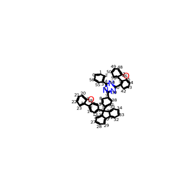 c1ccc(-c2nc(-c3ccc(C4(c5ccc6c(c5)oc5ccccc56)c5ccccc5-c5ccccc54)cc3)nc(-c3cccc4oc5ccccc5c34)n2)cc1